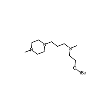 CCC(C)OCCN(C)CCCN1CCN(C)CC1